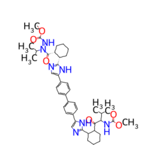 COC(=O)NC(C(=O)C1CCCCC1c1ncc(-c2ccc(-c3ccc(-c4cnc([C@H]5CCCC[C@H]5C(=O)N(NC(=O)OC)C(C)C)[nH]4)cc3)cc2)[nH]1)C(C)C